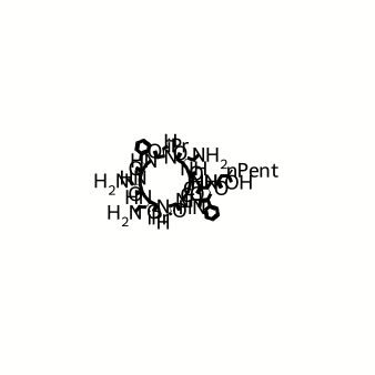 CCCCC[C@@H](O)CC(=O)N[C@H](Cc1c[nH]c2ccccc12)C(=O)N[C@H]1CCNC(=O)[C@H](CC(C)C)NC(=O)[C@H](CCN)NC(=O)[C@H](CCN)NC(=O)[C@H](Cc2ccccc2)NC(=O)[C@@H](CC(C)C)NC(=O)[C@H](CCN)NC1=O